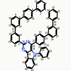 c1ccc(-c2ccc(-c3cccc(-c4cccc(-c5nc(-c6ccc(-c7cccc(-c8ccccc8)c7)cc6)c6c(n5)c5ccccc5n6-c5ccccc5)c4)c3)cc2)cc1